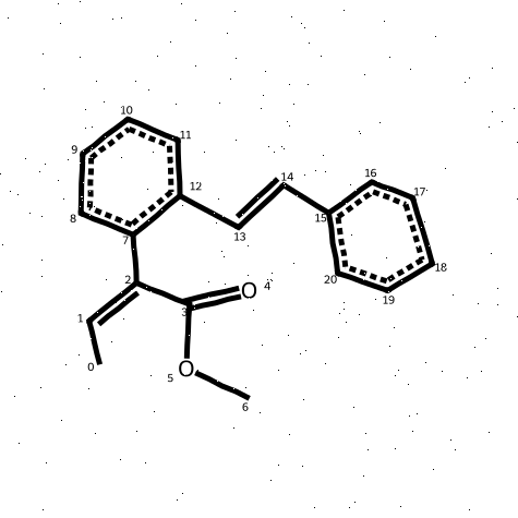 CC=C(C(=O)OC)c1ccccc1C=Cc1ccccc1